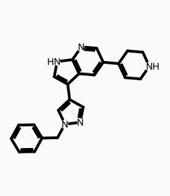 C1=C(c2cnc3[nH]cc(-c4cnn(Cc5ccccc5)c4)c3c2)CCNC1